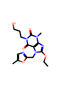 CCOc1nc2c(c(=O)n(CCCO)c(=O)n2C)n1Cc1ncc(C)o1